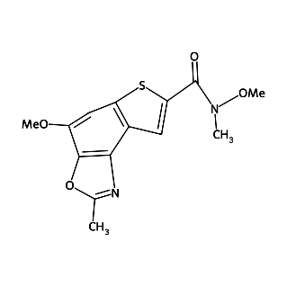 COc1cc2sc(C(=O)N(C)OC)cc2c2nc(C)oc12